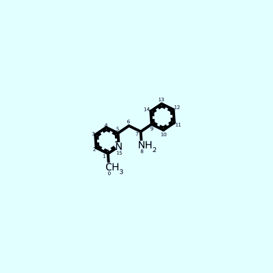 Cc1cccc(CC(N)c2ccccc2)n1